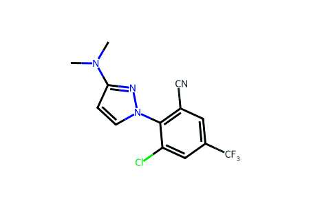 CN(C)c1ccn(-c2c(Cl)cc(C(F)(F)F)cc2C#N)n1